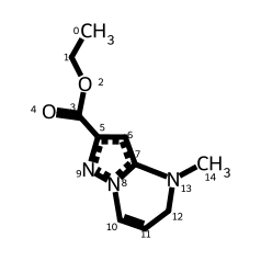 CCOC(=O)c1cc2n(n1)C=CCN2C